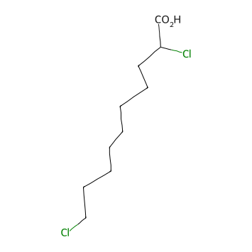 O=C(O)C(Cl)CCCCCCCCCl